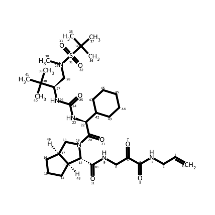 C=CCNC(=O)C(=O)CNC(=O)[C@@H]1[C@H]2CCC[C@H]2CN1C(=O)[C@@H](NC(=O)N[C@H](CN(C)S(=O)(=O)C(C)(C)C)C(C)(C)C)C1CCCCC1